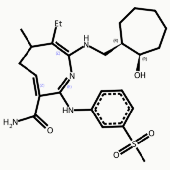 CC/C1=C(NC[C@H]2CCCCC[C@H]2O)/N=C(Nc2cccc(S(C)(=O)=O)c2)\C(C(N)=O)=C\CC1C